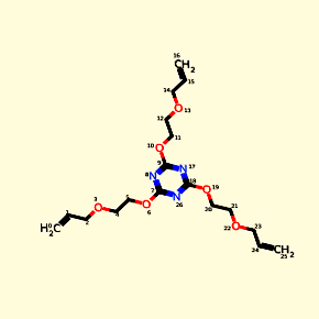 C=CCOCCOc1nc(OCCOCC=C)nc(OCCOCC=C)n1